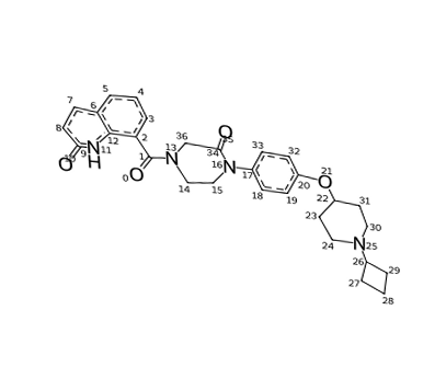 O=C(c1cccc2ccc(=O)[nH]c12)N1CCN(c2ccc(OC3CCN(C4CCC4)CC3)cc2)C(=O)C1